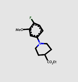 CCOC(=O)C1CCN(c2ccc(F)c(OC)c2)CC1